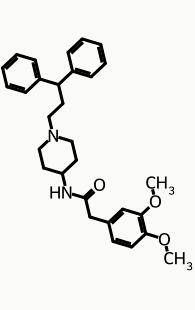 COc1ccc(CC(=O)NC2CCN(CCC(c3ccccc3)c3ccccc3)CC2)cc1OC